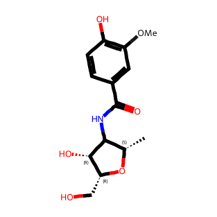 COc1cc(C(=O)NC2[C@H](C)O[C@H](CO)[C@@H]2O)ccc1O